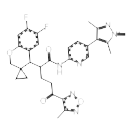 C=[N+]1N=C(C)C(c2ccc(NC(=O)C(CCC(=O)c3nonc3C)C3c4cc(F)c(F)cc4OCC34CC4)nc2)=C1C